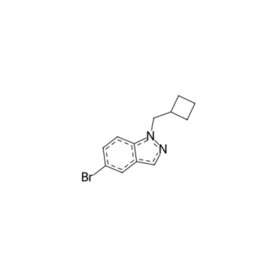 Brc1ccc2c(cnn2CC2CCC2)c1